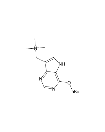 CCCCOc1ncnc2c(C[N+](C)(C)C)c[nH]c12